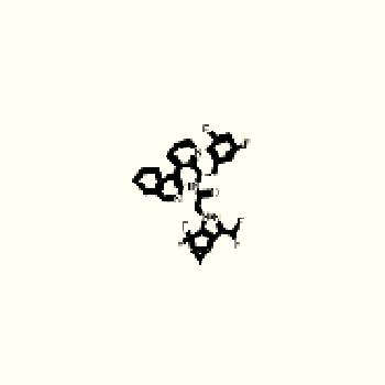 O=C(Cn1nc(C(F)F)c2c1C(F)(F)C1CC21)N[C@@H](Cc1cc(F)cc(F)c1)c1ncccc1-c1cncc2c1C=CCC2